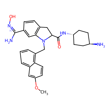 COc1ccc2c(CN3c4cc(/C(N)=N\O)ccc4CC3C(=O)N[C@H]3CC[C@H](N)CC3)cccc2c1